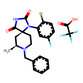 C[C@H]1C[C@@]2(CCN1Cc1ccccc1)C(=O)NC(=O)N2c1cc(F)ccc1Br.O=C(O)C(F)(F)F